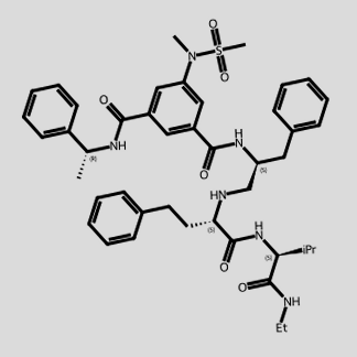 CCNC(=O)[C@@H](NC(=O)[C@H](CCc1ccccc1)NC[C@H](Cc1ccccc1)NC(=O)c1cc(C(=O)N[C@H](C)c2ccccc2)cc(N(C)S(C)(=O)=O)c1)C(C)C